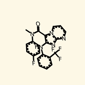 CN(C(=O)c1c(Nc2ccccc2C(F)(F)F)nc2ncccn12)c1ccc(F)cc1